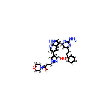 Nc1nc(CCC2(O)C=CC=CC2)cc(-c2c[nH]c3ncc(-c4cnn(CCC(=O)N5CCOCC5)c4)cc23)n1